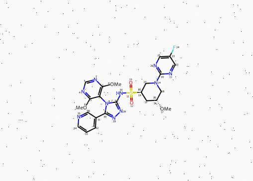 COc1ncnc(OC)c1-n1c(NS(=O)(=O)[C@@H]2C[C@@H](OC)CN(c3ncc(F)cn3)C2)nnc1-c1cccnc1